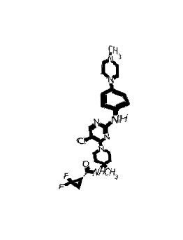 CN1CCN(c2ccc(Nc3ncc(Cl)c(N4CCC(C)(NC(=O)[C@@H]5CC5(F)F)CC4)n3)cc2)CC1